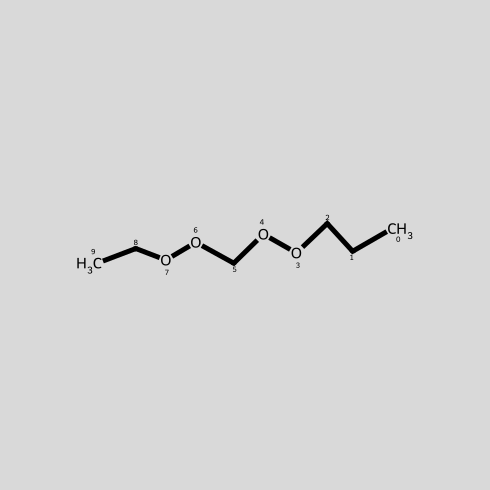 CCCOOCOOCC